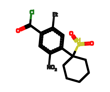 CCc1cc(C2([SH](=O)=O)CCCCC2)c([N+](=O)[O-])cc1C(=O)Cl